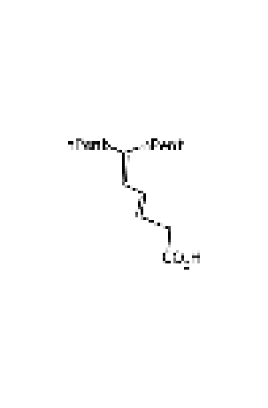 CCCCCC(=C/C=C/CC(=O)O)CCCCC